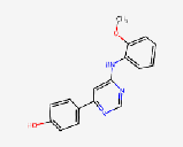 COc1ccccc1Nc1cc(-c2ccc(O)cc2)ncn1